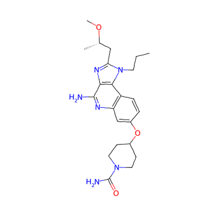 CCCn1c(C[C@H](C)OC)nc2c(N)nc3cc(OC4CCN(C(N)=O)CC4)ccc3c21